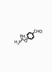 O=Cc1ccc(OP(P)P)cc1